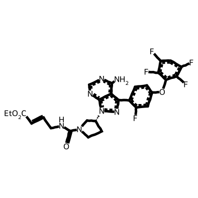 CCOC(=O)C=CCNC(=O)N1CC[C@@H](n2nc(-c3ccc(Oc4c(F)c(F)cc(F)c4F)cc3F)c3c(N)ncnc32)C1